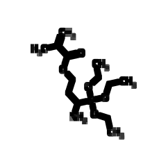 C=C(C)C(=O)OCCC(N)[Si](OCC)(OCC)OCC